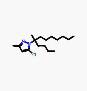 CCCCCCCC(C)(CCCC)n1nc(C)cc1Cl